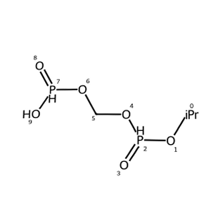 CC(C)O[PH](=O)OCO[PH](=O)O